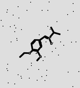 CCOc1ccc(C=[N+]([O-])C(C)C)cc1OC